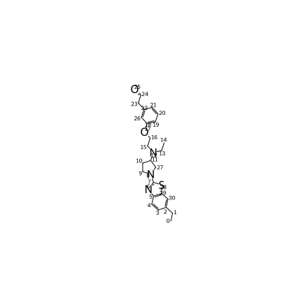 CCc1ccc2nc(N3CCC(N(CC)CCOc4cccc(CC=O)c4)C3)sc2c1